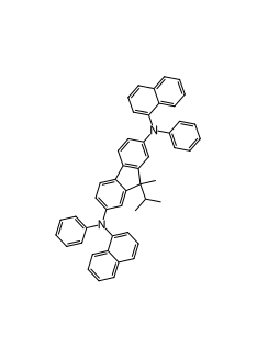 CC(C)C1(C)c2cc(N(c3ccccc3)c3cccc4ccccc34)ccc2-c2ccc(N(c3ccccc3)c3cccc4ccccc34)cc21